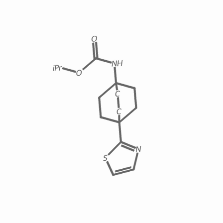 CC(C)OC(=O)NC12CCC(c3nccs3)(CC1)CC2